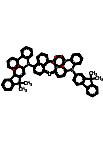 CC1(C)c2ccccc2-c2ccc(N(c3ccccc3-c3ccccc3)c3ccc4oc5ccc(N(c6ccc7c(c6)C(C)(C)c6ccccc6-7)c6ccccc6-c6ccccc6)c6cccc(c7cccc3c47)c56)cc21